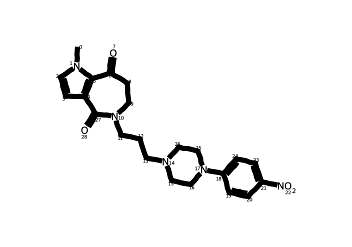 Cn1ccc2c1C(=O)CCN(CCCN1CCN(c3ccc([N+](=O)[O-])cc3)CC1)C2=O